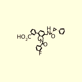 O=C(O)c1cccc(-c2ccc(CNC(=O)[C@@H]3C[C@@H]3c3ccccc3)c3c2CCN(C(=O)c2cccc(F)c2)C3)c1